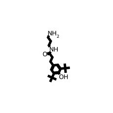 CC(C)(C)c1cc(CCC(=O)NCCCN)cc(C(C)(C)C)c1O